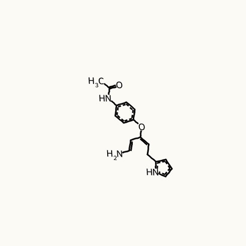 CC(=O)Nc1ccc(OC(/C=C/N)=C/Cc2ccc[nH]2)cc1